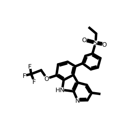 CCS(=O)(=O)c1cccc(-c2ccc(OCC(F)(F)F)c3[nH]c4ncc(C)cc4c23)c1